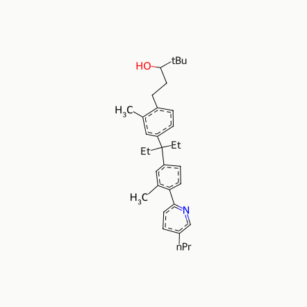 CCCc1ccc(-c2ccc(C(CC)(CC)c3ccc(CCC(O)C(C)(C)C)c(C)c3)cc2C)nc1